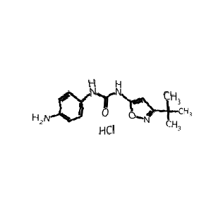 CC(C)(C)c1cc(NC(=O)Nc2ccc(N)cc2)on1.Cl